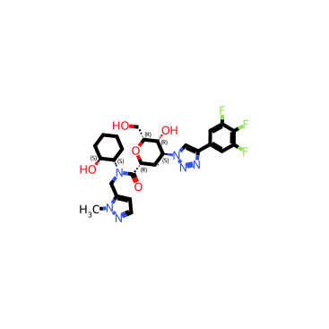 Cn1nccc1CN(C(=O)[C@H]1[CH][C@H](n2cc(-c3cc(F)c(F)c(F)c3)nn2)[C@@H](O)[C@@H](CO)O1)[C@H]1CCCC[C@@H]1O